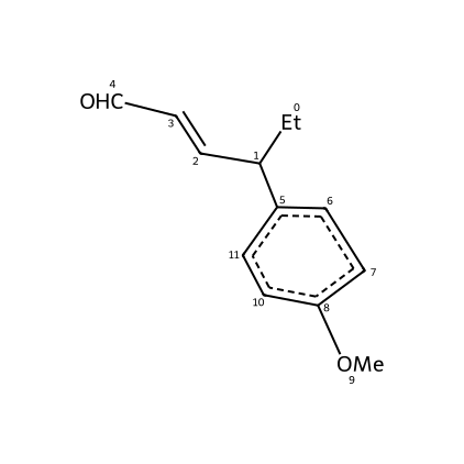 CCC(C=CC=O)c1ccc(OC)cc1